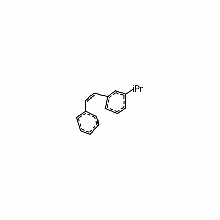 CC(C)c1cccc(/C=C\c2ccccc2)c1